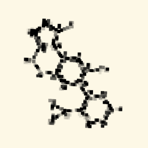 Cc1nnc2n1-c1cc(F)c(-c3cnccc3C3CC3)cc1CC2